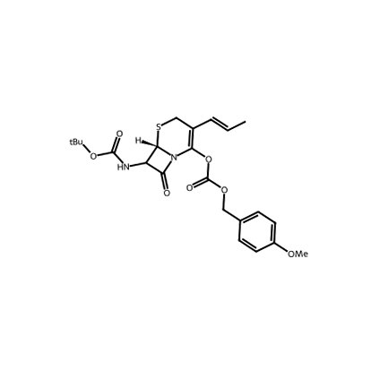 CC=CC1=C(OC(=O)OCc2ccc(OC)cc2)N2C(=O)C(NC(=O)OC(C)(C)C)[C@@H]2SC1